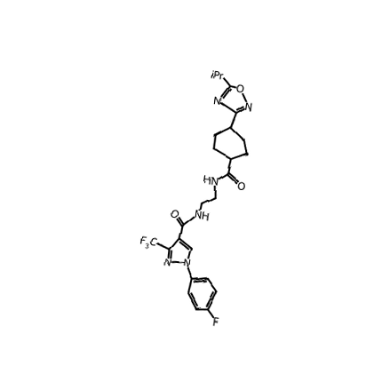 CC(C)c1nc(C2CCC(C(=O)NCCNC(=O)c3cn(-c4ccc(F)cc4)nc3C(F)(F)F)CC2)no1